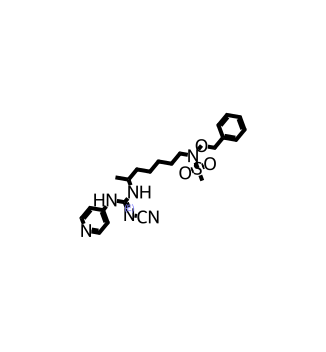 CC(CCCCCN(OCc1ccccc1)S(C)(=O)=O)N/C(=N\C#N)Nc1ccncc1